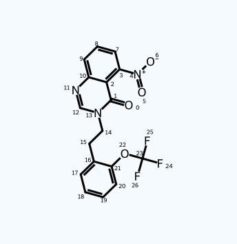 O=c1c2c([N+](=O)[O-])cccc2ncn1CCc1ccccc1OC(F)(F)F